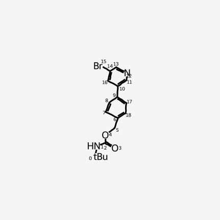 CC(C)(C)NC(=O)OCc1ccc(-c2cncc(Br)c2)cc1